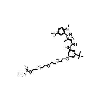 COc1ccc(OC)c(-n2nnc(C(=O)Nc3cc(OCCOCCOCCOCCOC(N)=O)cc(C(C)(C)C)c3)c2C)c1